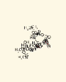 Cc1ncsc1-c1ccc([C@H](C)NC(=O)[C@@H]2C[C@@H](O)CN2C(=O)[C@@H](c2cc(OCCN3CCN(CCOc4cc(N5C6CCC5CN(c5cc(-c7ccccc7OCc7ccc(NC(=O)[C@H](CCCCN(C)C)NC(=O)C8(C(=O)NCCCCCN9C(=O)C=CC9=O)CCC8)cc7)nnc5N)C6)ccn4)[C@H](C)C3)no2)C(C)C)cc1